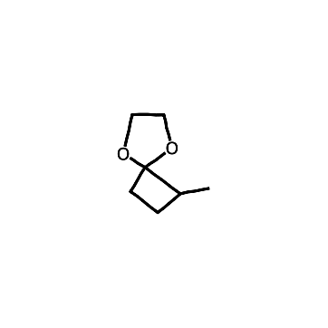 CC1CCC12OCCO2